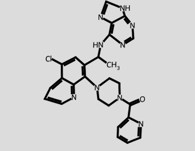 CC(Nc1ncnc2[nH]cnc12)c1cc(Cl)c2cccnc2c1N1CCN(C(=O)c2ccccn2)CC1